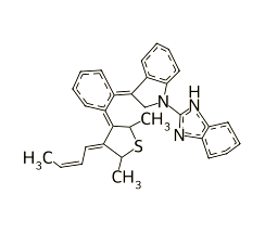 C\C=C/C=C1/C(=c2\cccc\c2=C2\CN(c3nc4ccccc4[nH]3)c3ccccc32)C(C)SC1C